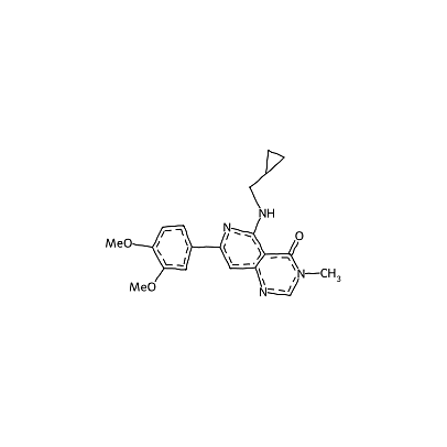 COc1ccc(-c2cc3ncn(C)c(=O)c3c(NCC3CC3)n2)cc1OC